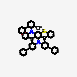 FC(F)(F)c1cccc(-c2ccccc2)c1N1c2ccccc2B2c3cc(-c4ccccc4)ccc3N3c4ccc(-c5ccccc5)cc4B4c5ccccc5Sc5cc1c2c3c54